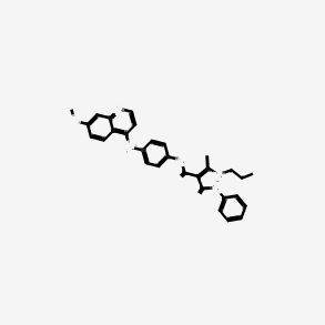 CCCn1c(C)c(C(=O)Nc2ccc([S+]([O-])c3ccnc4cc(OC)ccc34)cc2)c(=O)n1-c1ccccc1